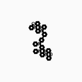 c1ccc(N(c2ccc(-c3cccc(N4c5ccccc5B5c6cccc7c6N(c6ccccc6O7)c6cccc4c65)c3)cc2)c2ccc3c(c2)N(c2ccccc2)c2cccc4c2B3c2cccc3c2N4c2ccccc2O3)cc1